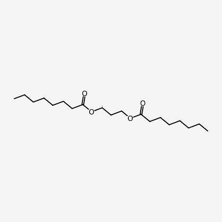 CCCCCCCC(=O)O[CH]CCOC(=O)CCCCCCC